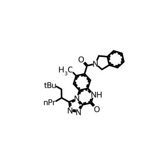 CCCC(CC(C)(C)C)c1nnc2c(=O)[nH]c3cc(C(=O)N4Cc5ccccc5C4)c(C)cc3n12